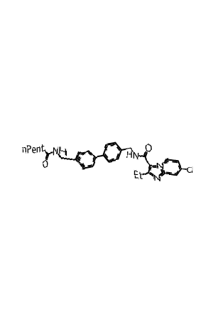 CCCCCC(=O)NCc1ccc(-c2ccc(CNC(=O)c3c(CC)nc4cc(Cl)ccn34)cc2)cc1